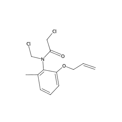 C=CCOc1cccc(C)c1N(CCl)C(=O)CCl